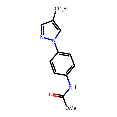 CCOC(=O)c1cnn(-c2ccc(NC(=O)OC)cc2)c1